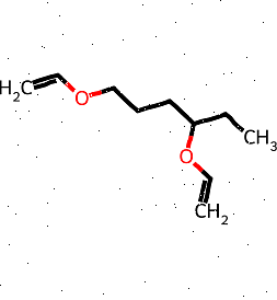 C=COCCCC(CC)OC=C